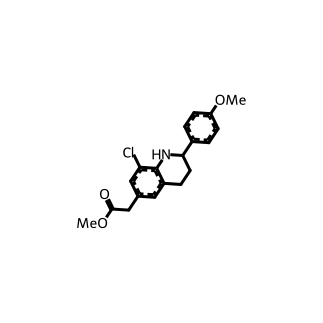 COC(=O)Cc1cc(Cl)c2c(c1)CCC(c1ccc(OC)cc1)N2